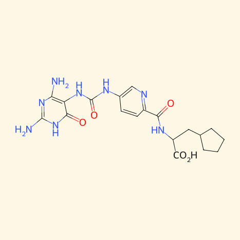 Nc1nc(N)c(NC(=O)Nc2ccc(C(=O)NC(CC3CCCC3)C(=O)O)nc2)c(=O)[nH]1